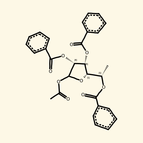 CC(=O)OC1O[C@@H]([C@H](C)OC(=O)c2ccccc2)[C@@H](OC(=O)c2ccccc2)[C@H]1OC(=O)c1ccccc1